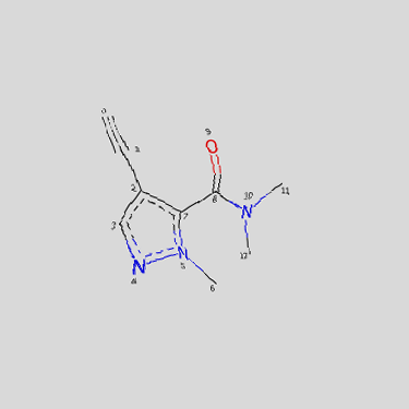 C#Cc1cnn(C)c1C(=O)N(C)C